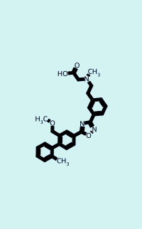 COCc1cc(-c2nc(-c3cccc(CCN(C)CC(=O)O)c3)no2)ccc1-c1ccccc1C